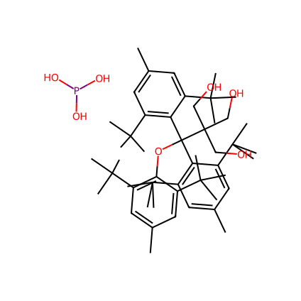 Cc1cc(C(C)(C)C)c(OC(c2c(C(C)(C)C)cc(C)cc2C(C)(C)C)(c2c(C(C)(C)C)cc(C)cc2C(C)(C)C)C(CO)(CO)CO)c(C(C)(C)C)c1.OP(O)O